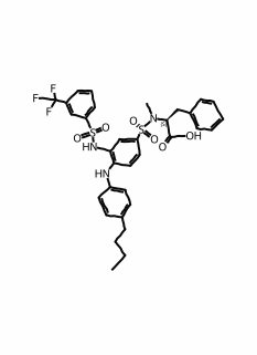 CCCCc1ccc(Nc2ccc(S(=O)(=O)N(C)[C@@H](Cc3ccccc3)C(=O)O)cc2NS(=O)(=O)c2cccc(C(F)(F)F)c2)cc1